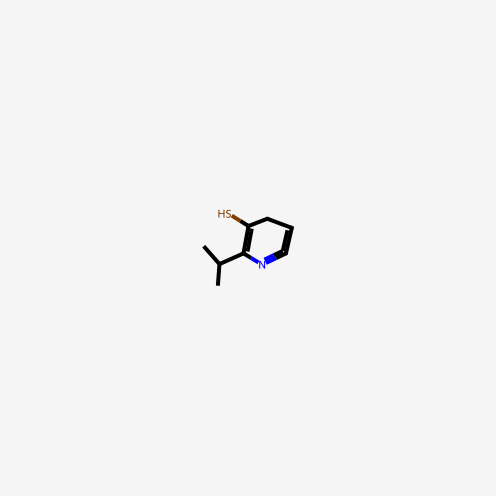 CC(C)C1=C(S)CC=C=N1